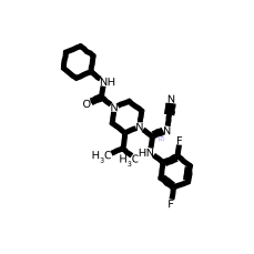 CC(C)C1CN(C(=O)NC2CCCCC2)CCN1/C(=N\C#N)Nc1cc(F)ccc1F